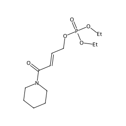 CCOP(=O)(OCC)OCC=CC(=O)N1CCCCC1